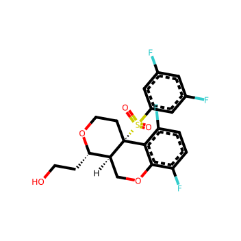 O=S(=O)(c1cc(F)cc(F)c1)[C@@]12CCO[C@@H](CCO)[C@@H]1COc1c(F)ccc(F)c12